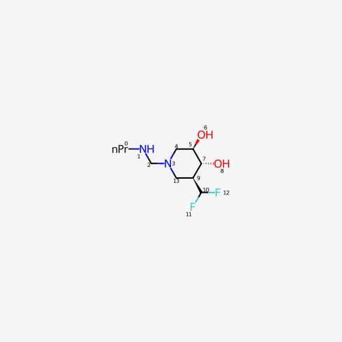 CCCNCN1C[C@@H](O)[C@H](O)[C@@H](C(F)F)C1